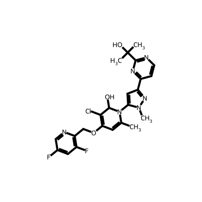 CC1=CC(OCc2ncc(F)cc2F)=C(Cl)C(O)N1c1cc(-c2ccnc(C(C)(C)O)n2)nn1C